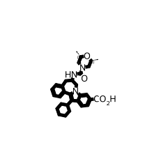 C[C@@H]1CN(C(=O)NC2Cc3ccccc3-c3c(C4CCCCC4)c4ccc(C(=O)O)cc4n3C2)C[C@H](C)O1